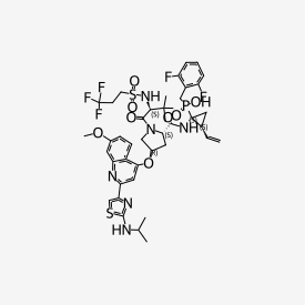 C=C[C@@H]1C[C@]1(NC(=O)[C@@H]1C[C@@H](Oc2cc(-c3csc(NC(C)C)n3)nc3cc(OC)ccc23)CN1C(=O)[C@@H](NS(=O)(=O)CCC(F)(F)F)C(C)(C)C)P(=O)(O)Cc1c(F)cccc1F